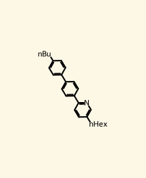 CCCCCCc1ccc(-c2ccc(-c3ccc(CCCC)cc3)cc2)nc1